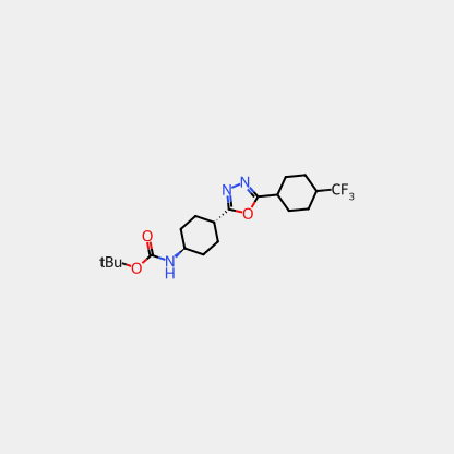 CC(C)(C)OC(=O)N[C@H]1CC[C@H](c2nnc(C3CCC(C(F)(F)F)CC3)o2)CC1